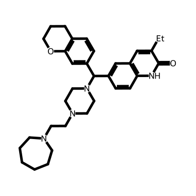 CCc1cc2cc(C(c3ccc4c(c3)OCCC4)N3CCN(CCN4CCCCCC4)CC3)ccc2[nH]c1=O